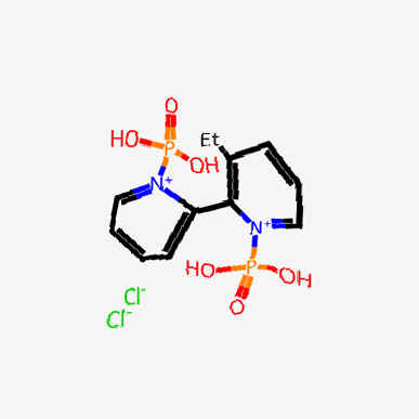 CCc1ccc[n+](P(=O)(O)O)c1-c1cccc[n+]1P(=O)(O)O.[Cl-].[Cl-]